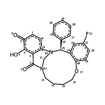 O=C1c2c(O)c(=O)ccn2N2CN1CCCCOc1ccc(F)cc1[C@@H]2c1ccccc1